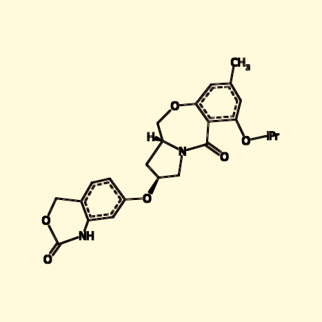 Cc1cc2c(c(OC(C)C)c1)C(=O)N1C[C@@H](Oc3ccc4c(c3)NC(=O)OC4)C[C@@H]1CO2